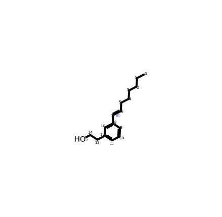 CCCCCC/C=C/c1cccc(CCO)c1